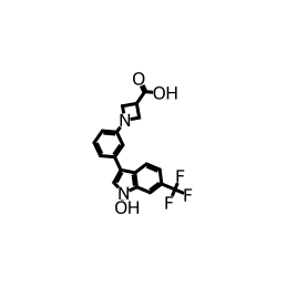 O=C(O)C1CN(c2cccc(-c3cn(O)c4cc(C(F)(F)F)ccc34)c2)C1